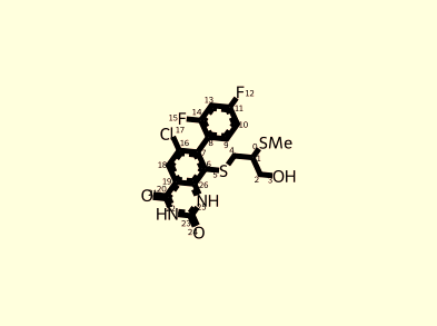 CSC(CO)CSc1c(-c2ccc(F)cc2F)c(Cl)cc2c(=O)[nH]c(=O)[nH]c12